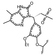 CCOc1cc([C@@H](CS(C)(=O)=O)n2c(=O)[nH]c3c(C)c(C)cnc32)ccc1OC(F)F